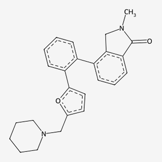 CN1Cc2c(cccc2-c2ccccc2-c2ccc(CN3CCCCC3)o2)C1=O